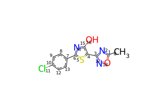 Cc1nc(-c2sc(-c3ccc(Cl)cc3)nc2O)no1